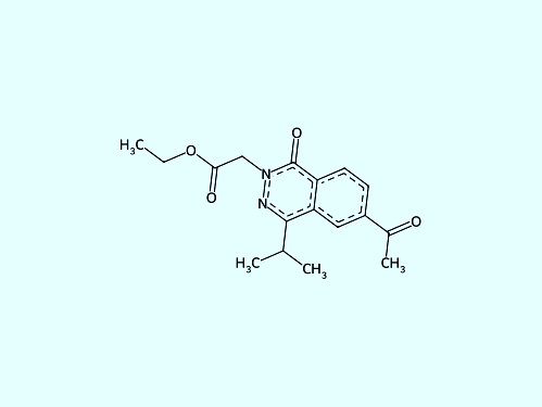 CCOC(=O)Cn1nc(C(C)C)c2cc(C(C)=O)ccc2c1=O